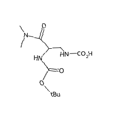 CN(C)C(=O)C(CNC(=O)O)NC(=O)OC(C)(C)C